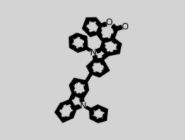 O=c1oc2ccccc2c2c1ccc1c3ccc(-c4ccc5c6ccccc6n(-c6ccccc6)c5c4)cc3n(-c3ccccc3)c12